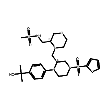 CC(C)(O)c1ccc(N2CCN(S(=O)(=O)c3cccs3)C[C@@H]2CN2CCOC[C@@H]2CNS(C)(=O)=O)cc1